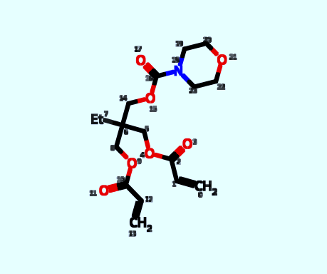 C=CC(=O)OCC(CC)(COC(=O)C=C)COC(=O)N1CCOCC1